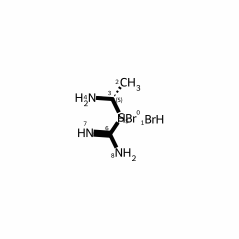 Br.Br.C[C@@H](N)SC(=N)N